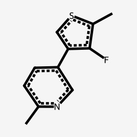 Cc1ccc(-c2csc(C)c2F)cn1